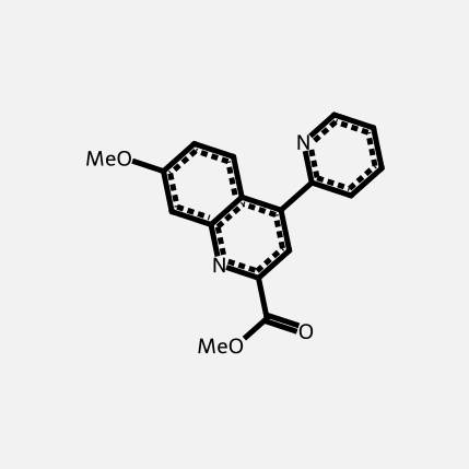 COC(=O)c1cc(-c2ccccn2)c2ccc(OC)cc2n1